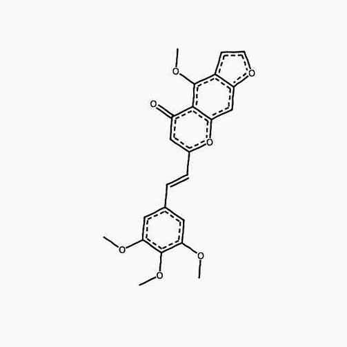 COc1cc(C=Cc2cc(=O)c3c(OC)c4ccoc4cc3o2)cc(OC)c1OC